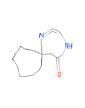 O=C1NC=NC12CCCC2